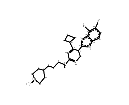 CN1CCC(CCCNC2=NCC(c3nc4c(F)c(F)ccc4[nH]3)C(C3CCC3)=N2)CC1